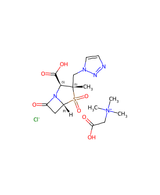 C[C@]1(Cn2ccnn2)[C@H](C(=O)O)N2C(=O)C[C@H]2S1(=O)=O.C[N+](C)(C)CC(=O)O.[Cl-]